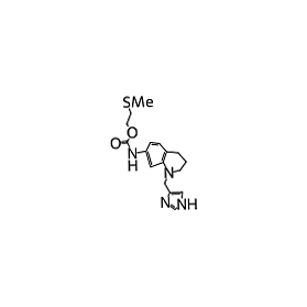 CSCCOC(=O)Nc1ccc2c(c1)N(Cc1c[nH]cn1)CCC2